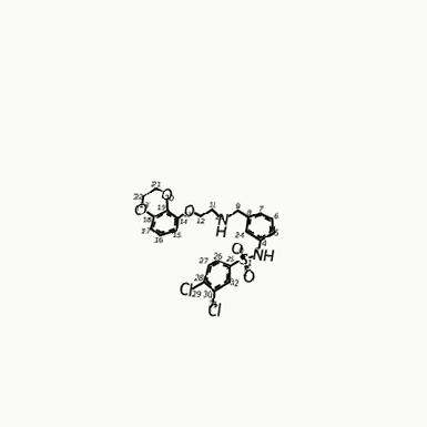 O=S(=O)(Nc1cccc(CNCCOc2cccc3c2OCCO3)c1)c1ccc(Cl)c(Cl)c1